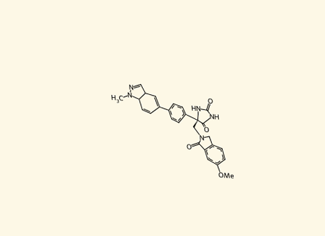 COc1ccc2c(c1)C(=O)N(C[C@@]1(c3ccc(C4=CC5C=NN(C)C5C=C4)cc3)NC(=O)NC1=O)C2